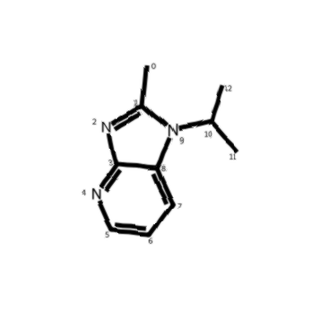 Cc1nc2ncccc2n1C(C)C